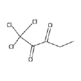 CCC(=O)C(=O)C(Cl)(Cl)Cl